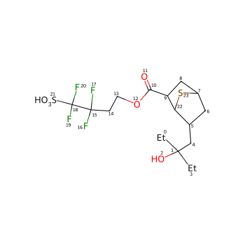 CCC(O)(CC)CC1CC2CC(C(=O)OCCC(F)(F)C(F)(F)S(=O)(=O)O)C1S2